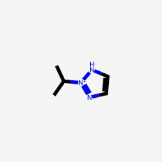 CC(C)[n+]1ncc[nH]1